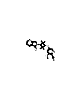 COc1cc(O[C@H]2C(C)(C)[C@H](N3CC4=NCCC=C4C3=O)C2(C)C)cnc1C#N